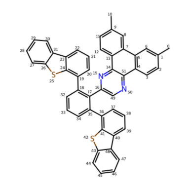 Cc1ccc2c(c1)c1cc(C)ccc1c1nc(-c3c(-c4cccc5c4sc4ccccc45)cccc3-c3cccc4c3sc3ccccc34)cnc21